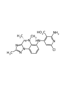 Cc1nc2n(n1)-c1cccc(Nc3cc(Cl)nc(N)c3C(=O)O)c1N(C)[C@H]2C